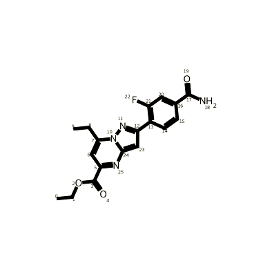 CCOC(=O)c1cc(CC)n2nc(-c3ccc(C(N)=O)cc3F)cc2n1